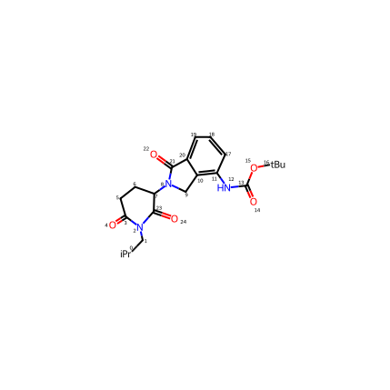 CC(C)CN1C(=O)CCC(N2Cc3c(NC(=O)OC(C)(C)C)cccc3C2=O)C1=O